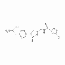 N=C(N)Cc1ccc(N2CC(CNC(=O)c3ccc(Cl)s3)OC2=O)cc1